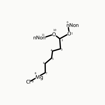 CCCCCCCCCOC(CCCC[CH2][Mg][Cl])OCCCCCCCCC